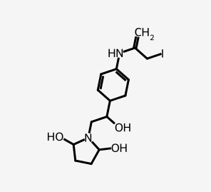 C=C(CI)NC1=CCC(C(O)CN2C(O)CCC2O)C=C1